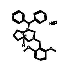 COc1cccc(OC)c1CN1C[C@@H]2CCCN2[C@H](C(c2ccccc2)c2ccccc2)C1.Cl.Cl